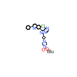 CC(C)(C)OC(=O)N1CCN(C2CC(c3nc(-c4ccc5ccc(-c6ccccc6)nc5c4)c4c(Cl)nccn34)C2)CC1